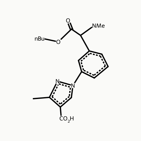 CCCCOC(=O)C(NC)c1cccc(-n2cc(C(=O)O)c(C)n2)c1